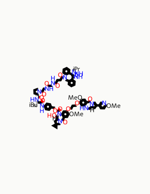 CC[C@H](C)[C@H](NC(=O)[C@@H]1CCCN1C(=O)CNC(=O)CNC(=O)CCC(=O)N1Cc2ccccc2C2=C(c3ccccc31)N(C(C)C)NN2)C(=O)Nc1ccc(COC(=O)N2c3cc(OCCCOc4cc5c(cc4OC)C(=O)N4C=C(c6ccc(OC)nc6)C[C@H]4CN5)c(OC)cc3C(=O)N3CC4(CC4)C[C@H]3[C@@H]2O)cc1